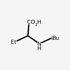 CCC(C)NC(CC)C(=O)O